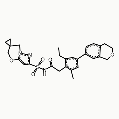 CCc1cc(-c2ccc3c(c2)COCC3)cc(C)c1CC(=O)NS(=O)(=O)c1cc2n(n1)CC1(CC1)CO2